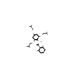 [LiH].[Li][P](C(=O)c1c(C(F)(F)F)cccc1C(F)(F)F)c1c(OCC(CC)CCCC)cc(OCC(CC)CCCC)cc1OCC(CC)CCCC